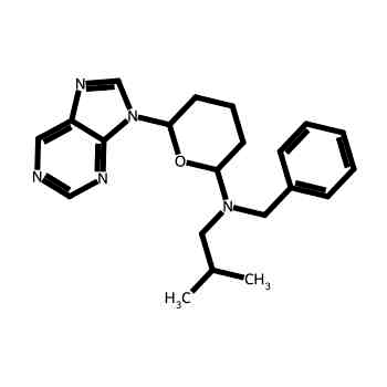 CC(C)CN(Cc1ccccc1)C1CCCC(n2cnc3cncnc32)O1